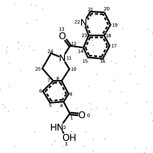 O=C(NO)c1ccc2c(c1)CN(C(=O)c1cccc3cccnc13)CC2